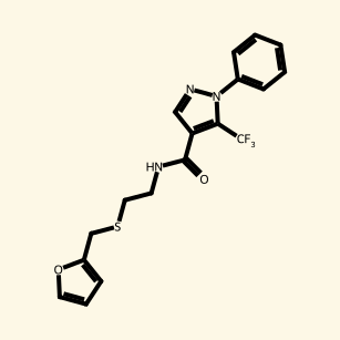 O=C(NCCSCc1ccco1)c1cnn(-c2ccccc2)c1C(F)(F)F